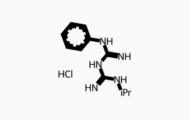 CC(C)NC(=N)NC(=N)Nc1ccccc1.Cl